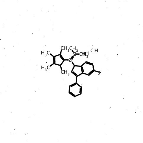 CC1=C(C)C(C)[C]([Zr]([CH]2C=C(c3ccccc3)c3cc(F)ccc32)=[Si](C)C)=C1C.Cl.Cl